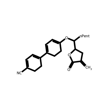 C=C1CC(C(CCCCC)OC2=CC=C(C3=CC=C(C#N)CC3)CC2)OC1=O